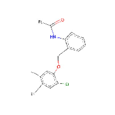 CCC(=O)Nc1ccccc1COc1cc(C)c(CC)cc1Cl